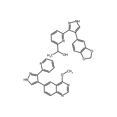 CC(O)c1cccc(-c2n[nH]cc2-c2ccc3c(c2)OCO3)n1.COc1ncnc2ccc(-c3c[nH]nc3-c3ccccn3)cc12